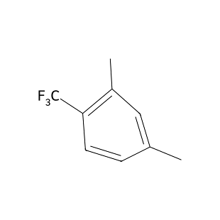 Cc1ccc(C(F)(F)F)c(C)c1